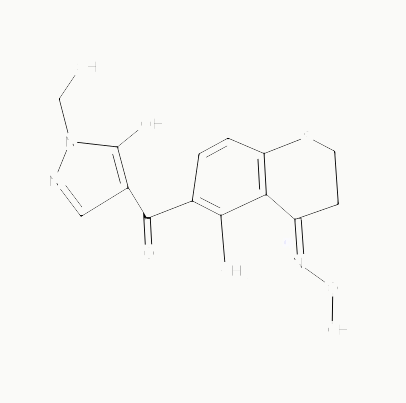 CCn1ncc(C(=O)c2ccc3c(c2C)/C(=N/OC)CCS3)c1O